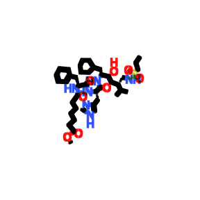 CCCS(=O)(=O)NC[C@@H](C[C@H](O)[C@H](CC1CCCCC1)NC(=O)[C@H](Cc1c[nH]cn1)NC(=O)[C@H](Cc1ccccc1)NC(=O)CCCCCC(=O)OC)C(C)C